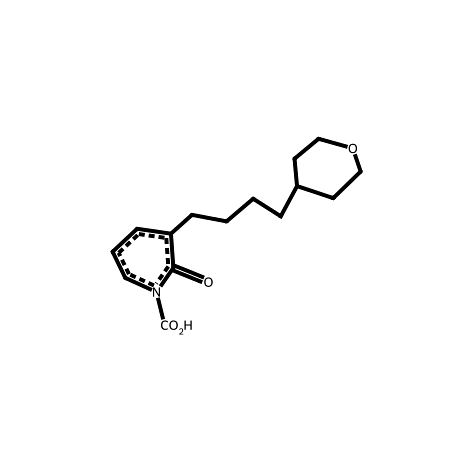 O=C(O)n1cccc(CCCCC2CCOCC2)c1=O